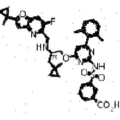 Cc1cccc(C)c1-c1cc(OC[C@@H](CC2(C)CC2)NCc2nc3cc(C4(C)CC4)oc3cc2F)nc(NS(=O)(=O)c2cccc(C(=O)O)c2)n1